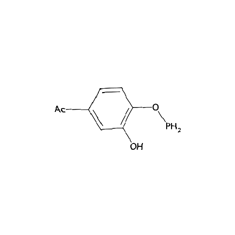 CC(=O)c1ccc(OP)c(O)c1